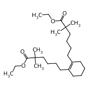 CCOC(=O)C(C)(C)CCCCC1=C(CCCCC(C)(C)C(=O)OCC)CCCC1